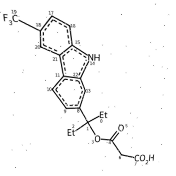 CCC(CC)(OC(=O)CC(=O)O)c1ccc2c(c1)[nH]c1ccc(C(F)(F)F)cc12